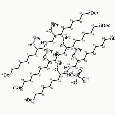 CCCCCCCCCCCCCCCCC(CNCC(CCCCCCCCCCCCCCCC)OCCC)OCCC.CCCCCCCCCCCCCCCCC(CNCC(CCCCCCCCCCCCCCCC)OCCC)OCCC.CCCCCCCCCCCCCCCCC(CNCC(CCCCCCCCCCCCCCCC)OCCC)OCCC.O=P(O)(O)O